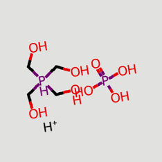 O=P(O)(O)O.OC[PH](CO)(CO)CO.[H+]